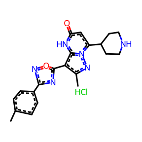 Cc1ccc(-c2noc(-c3c(C)nn4c(C5CCNCC5)cc(=O)[nH]c34)n2)cc1.Cl